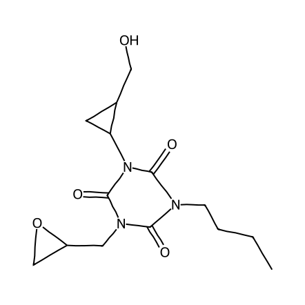 CCCCn1c(=O)n(CC2CO2)c(=O)n(C2CC2CO)c1=O